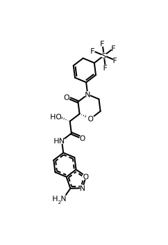 Nc1noc2cc(NC(=O)[C@H](O)[C@H]3OCCN(C4=CC(S(F)(F)(F)(F)F)CC=C4)C3=O)ccc12